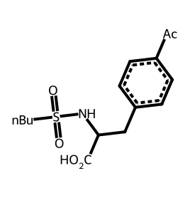 CCCCS(=O)(=O)NC(Cc1ccc(C(C)=O)cc1)C(=O)O